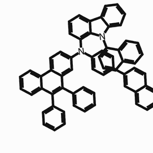 c1ccc(-c2c(-c3ccccc3)c3cc(N(c4ccc(-c5ccc6ccccc6c5)cc4)c4cccc5c6ccccc6n(-c6cccc7ccccc67)c45)ccc3c3ccccc23)cc1